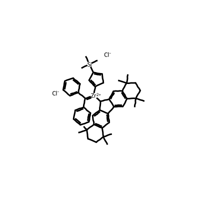 CC1(C)CCC(C)(C)c2cc3c(cc21)-c1cc2c(cc1[CH]3[Zr+2]([C]1=CC([Si](C)(C)C)=CC1)=[C](c1ccccc1)c1ccccc1)C(C)(C)CCC2(C)C.[Cl-].[Cl-]